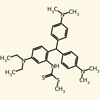 CCN(CC)c1ccc(C(c2ccc(N(C)C)cc2)c2ccc(N(C)C)cc2)c(NC(=S)SC)c1